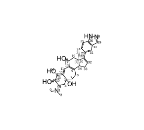 CN(C)[C@H]1C[C@]2(O)CCC3=C(C=C2[C@@H](O)[C@@H]1O)C(O)C[C@]1(C)C(c2ccc4[nH]ncc4c2)=CCC31